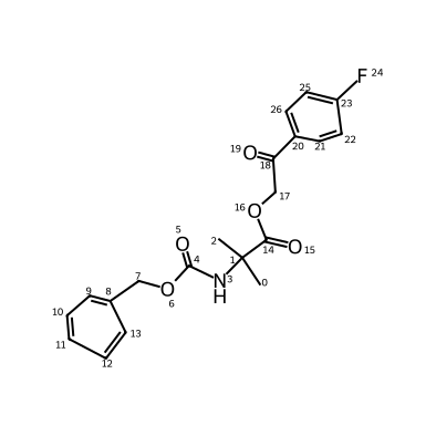 CC(C)(NC(=O)OCc1ccccc1)C(=O)OCC(=O)c1ccc(F)cc1